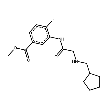 COC(=O)c1ccc(F)c(NC(=O)CNCC2CCCC2)c1